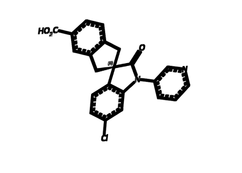 O=C(O)c1ccc2c(c1)C[C@@]1(C2)C(=O)N(c2cccnc2)c2cc(Cl)ccc21